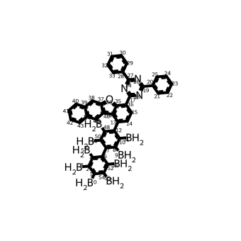 Bc1c(B)c(B)c(-c2c(B)c(B)c(-c3ccc(-c4nc(-c5ccccc5)nc(-c5ccccc5)n4)c4oc5cc6ccccc6cc5c34)c(B)c2B)c(B)c1B